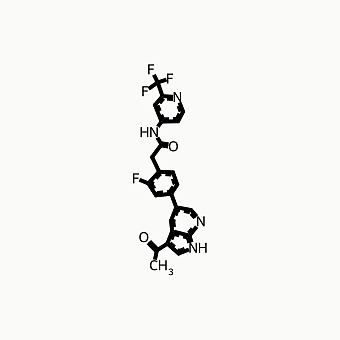 CC(=O)c1c[nH]c2ncc(-c3ccc(CC(=O)Nc4ccnc(C(F)(F)F)c4)c(F)c3)cc12